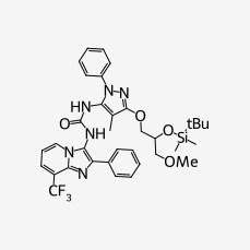 COCC(COc1nn(-c2ccccc2)c(NC(=O)Nc2c(-c3ccccc3)nc3c(C(F)(F)F)cccn23)c1C)O[Si](C)(C)C(C)(C)C